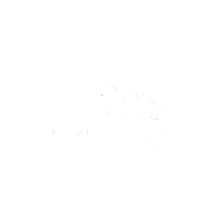 CNC(=O)c1c(-c2ccc(F)cc2)oc2cc(N(C)S(C)(=O)=O)c(-c3cnc4c(c3)-c3cc5c(F)cccc5n3CN4)cc12